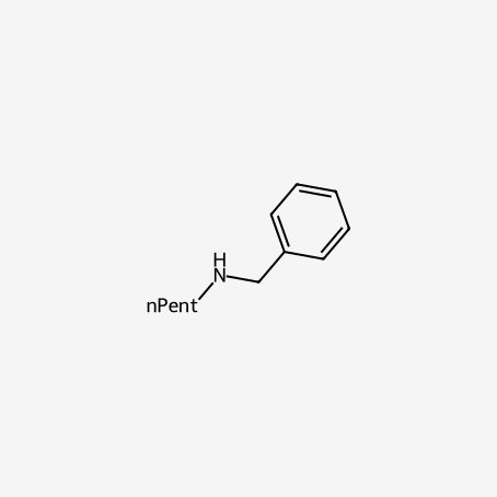 CCC[CH]CNCc1ccccc1